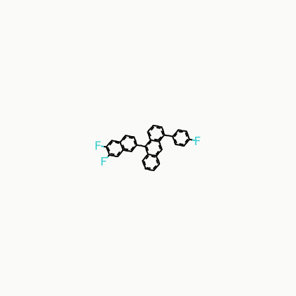 Fc1ccc(-c2cccc3c(-c4ccc5cc(F)c(F)cc5c4)c4ccccc4cc23)cc1